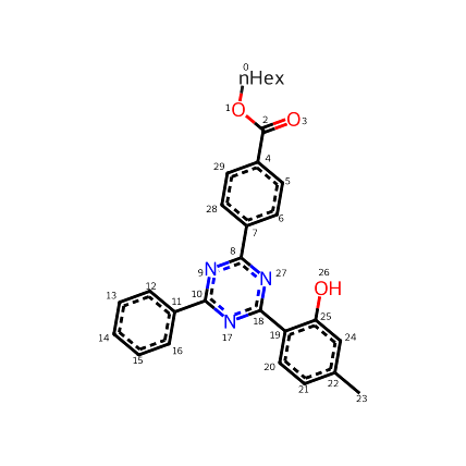 CCCCCCOC(=O)c1ccc(-c2nc(-c3ccccc3)nc(-c3ccc(C)cc3O)n2)cc1